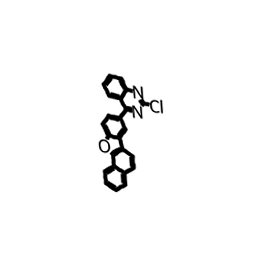 Clc1nc(-c2ccc3oc4c5ccccc5ccc4c3c2)c2ccccc2n1